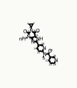 CCCn1c(=O)n(C2CC2)c(=O)c2[nH]c(-c3ccc(N(C)C(=O)c4cccnc4)nc3)nc21